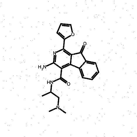 CC(CN(C)C)NC(=O)c1c(N)nc(-c2ccco2)c2c1-c1ccccc1C2=O